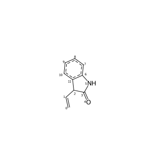 C=CC1C(=O)Nc2ccccc21